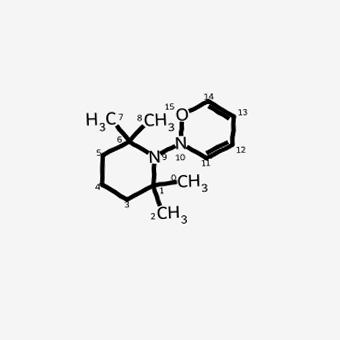 CC1(C)CCCC(C)(C)N1N1[C]=CC=CO1